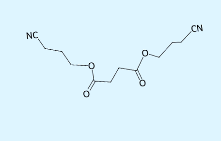 N#CCCCOC(=O)CCC(=O)OCCCC#N